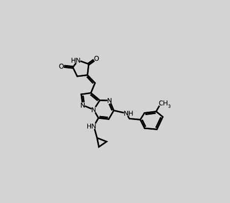 Cc1cccc(CNc2cc(NC3CC3)n3ncc(C=C4CC(=O)NC4=O)c3n2)c1